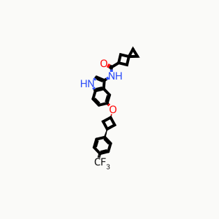 O=C(Nc1c[nH]c2ccc(O[C@H]3C[C@H](c4ccc(C(F)(F)F)cc4)C3)cc12)C1CC2(CC2)C1